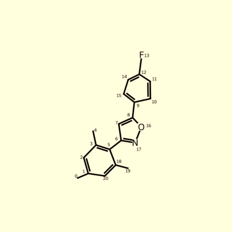 Cc1cc(C)c(-c2cc(-c3ccc(F)cc3)on2)c(C)c1